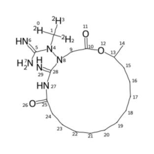 [2H]C([2H])([2H])N(C(=N)N)N1CC(=O)OC(C)CCCCCCCCCCC(=O)NC1=N